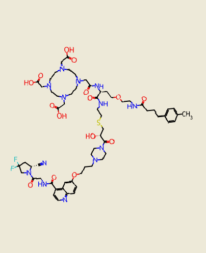 Cc1ccc(CCCC(=O)NCCOCC[C@H](NC(=O)CN2CCN(CC(=O)O)CCN(CC(=O)O)CCN(CC(=O)O)CC2)C(=O)NCCSC[C@@H](O)C(=O)N2CCN(CCCOc3ccc4nccc(C(=O)NCC(=O)N5CC(F)(F)C[C@@H]5C#N)c4c3)CC2)cc1